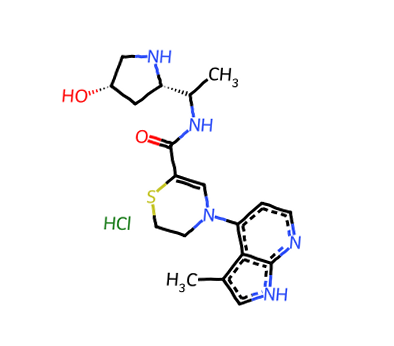 Cc1c[nH]c2nccc(N3C=C(C(=O)NC(C)[C@@H]4C[C@H](O)CN4)SCC3)c12.Cl